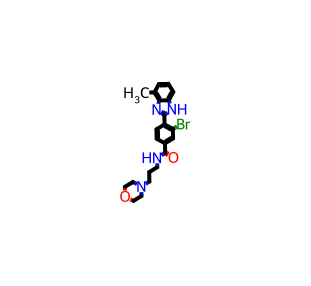 Cc1cccc2[nH]c(-c3ccc(C(=O)NCCCN4CCOCC4)cc3Br)nc12